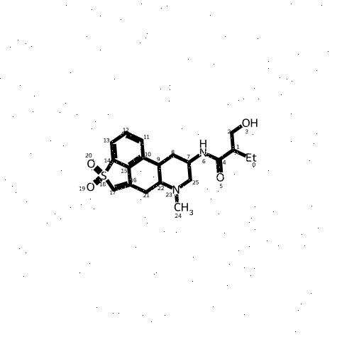 CCC(CO)C(=O)NC1CC2c3cccc4c3C(=CS4(=O)=O)CC2N(C)C1